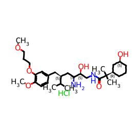 COCCCOc1cc(C[C@@H](C[C@H](N)[C@@H](O)CNC(=O)C(C)(C)[C@@H]2CCC[C@H](O)C2)C(C)C)ccc1OC.Cl